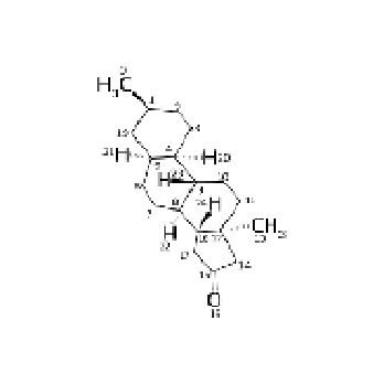 C[C@H]1CC[C@@H]2[C@@H](CC[C@H]3[C@H]2CC[C@@]2(C)CC(=O)C[C@H]32)C1